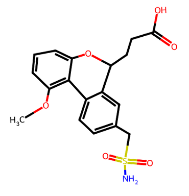 COc1cccc2c1-c1ccc(CS(N)(=O)=O)cc1C(CCC(=O)O)O2